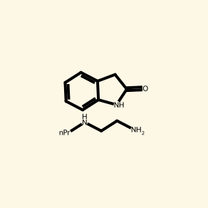 CCCNCCN.O=C1Cc2ccccc2N1